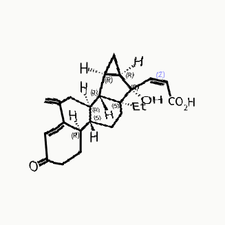 C=C1C[C@@H]2[C@H](CC[C@@]3(CC)[C@H]2[C@H]2C[C@H]2[C@@]3(O)/C=C\C(=O)O)[C@H]2CCC(=O)C=C12